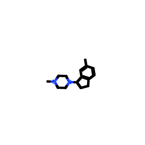 Cc1ccc2c(c1)C(N1CCN(C)CC1)CC2